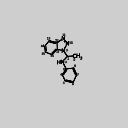 CC(Nc1ccccc1)n1nnc2ccccc21